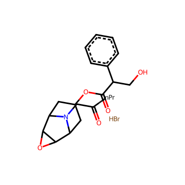 Br.CCCC(=O)CN1C2CC(OC(=O)C(CO)c3ccccc3)CC1C1OC12